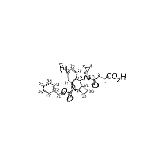 O=C(O)CCC(=O)N(C1CC1)C1c2ccc(F)cc2N(C(=O)OCc2ccccc2)C2CCC21